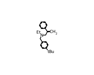 C=C(CN(CC)Cc1ccc(C(C)(C)C)cc1)c1ccccc1